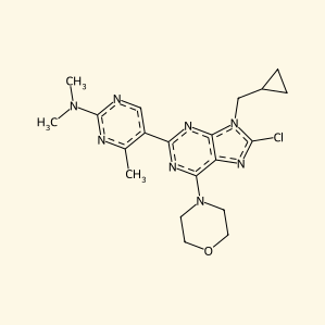 Cc1nc(N(C)C)ncc1-c1nc(N2CCOCC2)c2nc(Cl)n(CC3CC3)c2n1